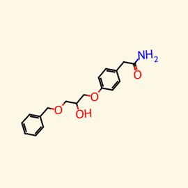 NC(=O)Cc1ccc(OCC(O)COCc2ccccc2)cc1